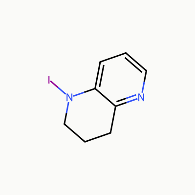 IN1CCCc2ncccc21